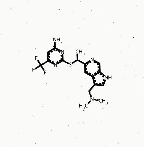 CC(Sc1nc(N)cc(C(F)(F)F)n1)c1cc2c(CN(C)C)c[nH]c2cn1